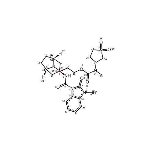 CC(C)n1c(=O)n(C(=O)N[C@@H]2C[C@H]3CC[C@@H](C2)N3CCCOC(=O)N(C)C2CCS(=O)(=O)C2)c2ccccc21